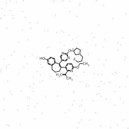 C=C(C)c1nc(OCC)ccc1C1=C(c2cnc(O[C@H]3CCN(CCCF)C3)nc2)c2ccc(O)cc2CCC1